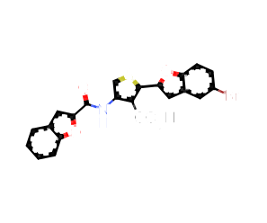 O=C(Nc1csc(-c2cc3cc(Br)ccc3o2)c1C(=O)O)c1cc2ccccc2o1